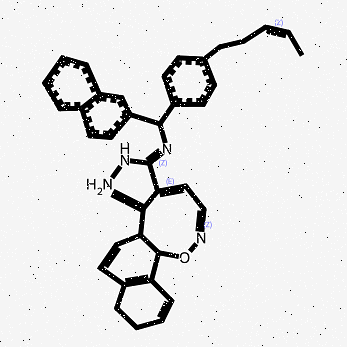 C=C1C(/C(=N/C(c2ccc(CC/C=C\C)cc2)c2ccc3ccccc3c2)NN)=C\C=N/OC2C3=C(C=CC12)CCC=C3